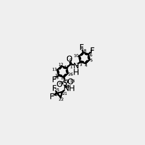 O=C(Nc1ccc(F)c(F)c1)c1ccc(F)c(S(=O)(=O)NC2CC2(F)F)c1